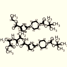 C=C(NC(=O)c1csc(N2CCN(C(=O)OC(C)(C)C)CC2)n1)C(=O)NC(=C)C(=O)OC.CCOC(=O)c1csc(N2CCN(C(=O)OC(C)(C)C)CC2)n1